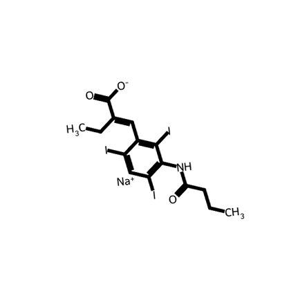 CCCC(=O)Nc1c(I)cc(I)c(C=C(CC)C(=O)[O-])c1I.[Na+]